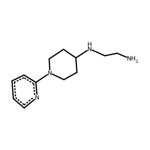 NCCNC1CCN(c2ccccn2)CC1